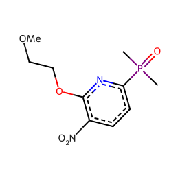 COCCOc1nc(P(C)(C)=O)ccc1[N+](=O)[O-]